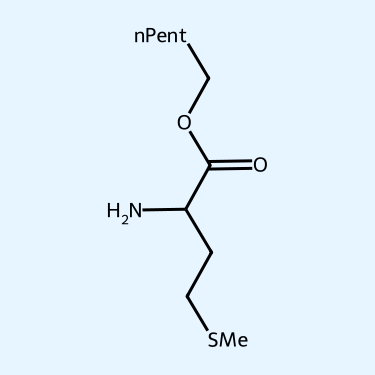 CCCCCCOC(=O)C(N)CCSC